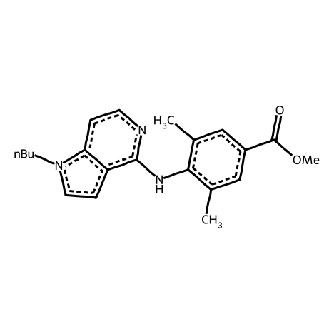 CCCCn1ccc2c(Nc3c(C)cc(C(=O)OC)cc3C)nccc21